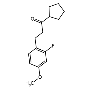 COc1ccc(CCC(=O)C2CCCC2)c(F)c1